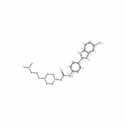 CN(C)CCCN1CCN(CC(=O)Nc2ccc(-c3nc4cc(Cl)ccc4o3)cc2)CC1